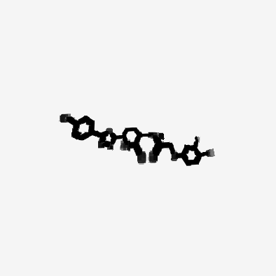 O=C(COc1ccc(Cl)c(F)c1)NC1CCC(c2nnc(-c3ccc(Cl)cc3)o2)NC1=O